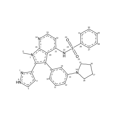 Cn1c(-c2cc[nH]n2)c(-c2cccc(N3CCCC3)c2)c2c(NS(=O)(=O)c3ccccc3)ccnc21